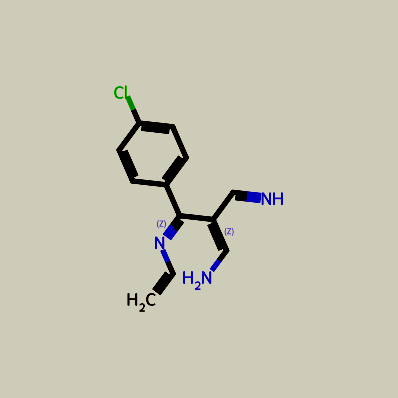 C=C/N=C(\C(C=N)=C/N)c1ccc(Cl)cc1